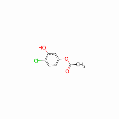 CC(=O)Oc1ccc(Cl)c(O)c1